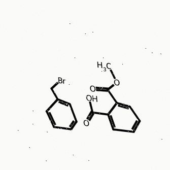 BrCc1ccccc1.COC(=O)c1ccccc1C(=O)O